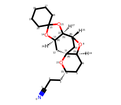 N#CCC[C@H]1CC[C@@H]2O[C@@H]3C[C@]2(C[C@H]2OC4(CCCCC4)O[C@@H]32)O1